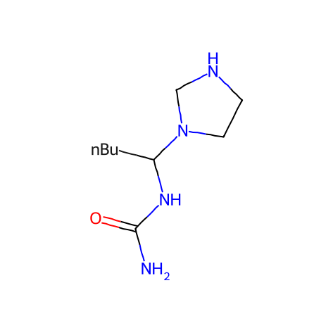 CCCCC(NC(N)=O)N1CCNC1